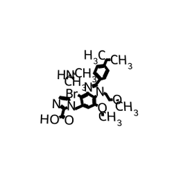 CNC.COCCn1c(-c2ccc(C(C)C)cc2)nc2c(Br)c(Cn3ccnc3C(=O)O)cc(OC)c21